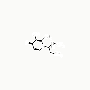 CCC(NC)n1ccc(=O)c(O)c1C